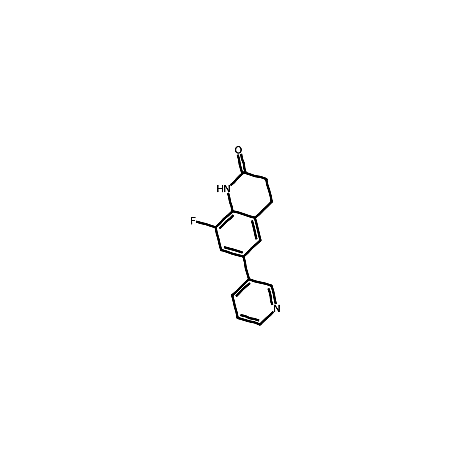 O=C1CCc2cc(-c3cccnc3)cc(F)c2N1